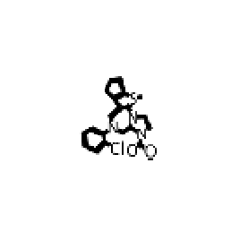 COC(=O)N1CCN2C3=S(C)C4=C(CC=C4)C3=CN(c3ccccc3Cl)CC12